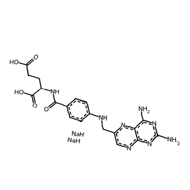 Nc1nc(N)c2nc(CNc3ccc(C(=O)NC(CCC(=O)O)C(=O)O)cc3)cnc2n1.[NaH].[NaH]